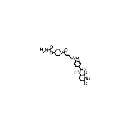 NC(=O)OC1CCN(C(=O)/C=C/CNc2ccc(C(=O)NC3CCC(=O)NC3=O)cc2)CC1